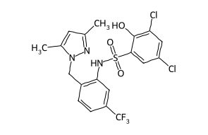 Cc1cc(C)n(Cc2ccc(C(F)(F)F)cc2NS(=O)(=O)c2cc(Cl)cc(Cl)c2O)n1